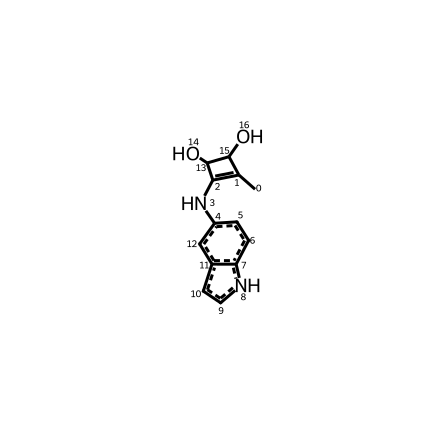 CC1=C(Nc2ccc3[nH]ccc3c2)C(O)C1O